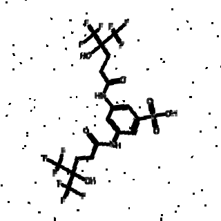 O=C(CCC(O)(C(F)(F)F)C(F)(F)F)Nc1cc(NC(=O)CCC(O)(C(F)(F)F)C(F)(F)F)cc(S(=O)(=O)O)c1